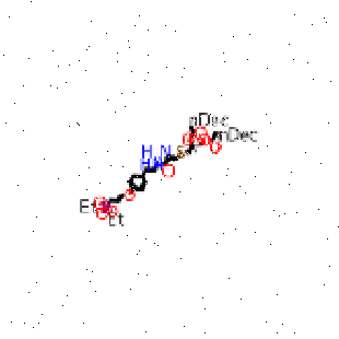 CCCCCCCCCCCC(=O)OC[C@H](CSC[C@H](N)C(=O)NCCc1ccc(OCCCP(=O)(OCC)OCC)cc1)OC(=O)CCCCCCCCCCC